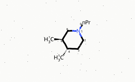 CCCN1CC[C@H](C)[C@@H](C)C1